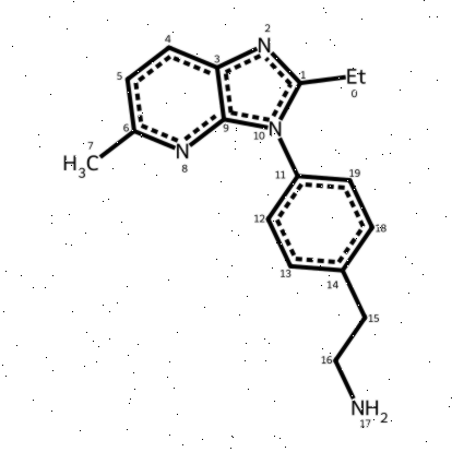 CCc1nc2ccc(C)nc2n1-c1ccc(CCN)cc1